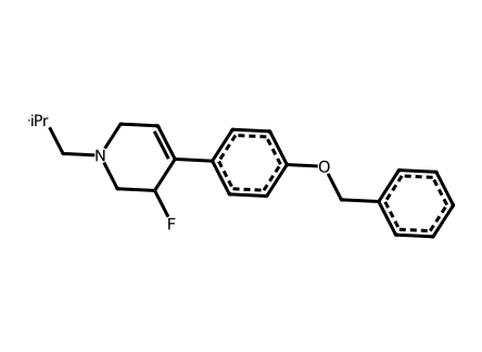 C[C](C)CN1CC=C(c2ccc(OCc3ccccc3)cc2)C(F)C1